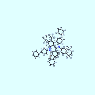 Cc1cc(-c2ccccc2)ccc1N1c2cc3c(cc2B2c4c(cc5c(sc6ccccc65)c41)-c1cc4c(cc1N2c1ccc(-c2ccccc2)cc1)C(C)(C)CCC4(C)C)C(C)(C)CCC3(C)C